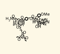 C=CC(=O)N1CN(C(=O)C=C)CN(C(=O)CCSCC(=O)N[C@H](C(=O)N[C@@H](CCCNC(N)=O)C(=O)Nc2ccc(COC(=O)N[C@@H](Cc3ccc(OC)cc3)C(=O)N[C@H]3[C@@H](O)[C@H](n4cnc5c(N(C)C)ncnc54)O[C@@H]3CO)cc2)C(C)C)C1